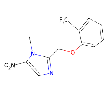 Cn1c([N+](=O)[O-])cnc1COc1ccccc1C(F)(F)F